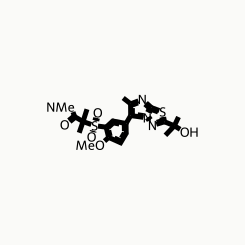 CNC(=O)C(C)(C)S(=O)(=O)c1cc(-c2c(C)nc3sc(C(C)(C)O)nn23)ccc1OC